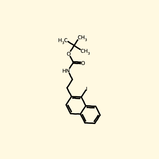 CC(C)(C)OC(=O)NCCc1ccc2ccccc2c1I